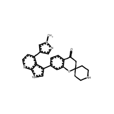 Cn1cc(-c2ccnc3[nH]cc(-c4ccc5c(c4)OC4(CCNCC4)CC5=O)c23)cn1